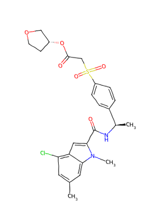 Cc1cc(Cl)c2cc(C(=O)N[C@H](C)c3ccc(S(=O)(=O)CC(=O)O[C@@H]4CCOC4)cc3)n(C)c2c1